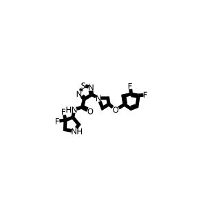 O=C(NC1CNCC1(F)F)c1nsnc1N1CC(Oc2ccc(F)c(F)c2)C1